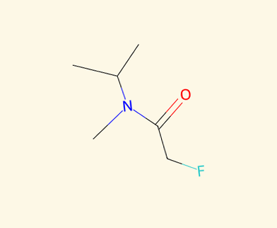 CC(C)N(C)C(=O)CF